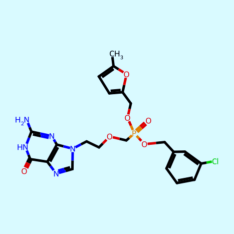 Cc1ccc(COP(=O)(COCCn2cnc3c(=O)[nH]c(N)nc32)OCc2cccc(Cl)c2)o1